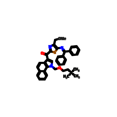 COCc1nc(C(=O)c2cn(COCC[Si](C)(C)C)c3c2ccc2ccccc23)sc1N=C(c1ccccc1)c1ccccc1